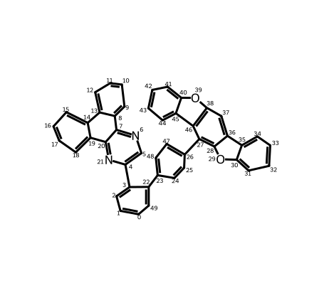 c1ccc(-c2cnc3c4ccccc4c4ccccc4c3n2)c(-c2ccc(-c3c4oc5ccccc5c4cc4oc5ccccc5c34)cc2)c1